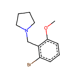 COc1cccc(Br)c1CN1CCCC1